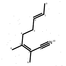 CC=CCCC(C)=C(C)C#N